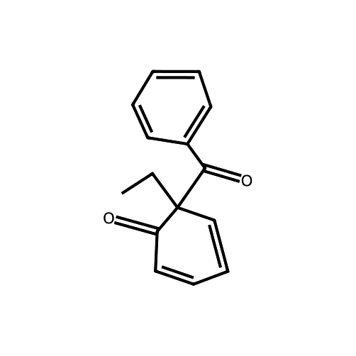 CCC1(C(=O)c2ccccc2)C=CC=CC1=O